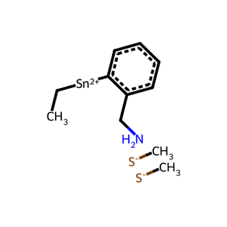 C[CH2][Sn+2][c]1ccccc1CN.C[S-].C[S-]